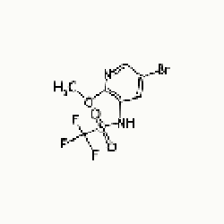 COc1ncc(Br)cc1NS(=O)(=O)C(F)(F)F